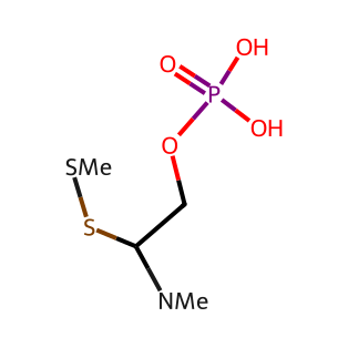 CNC(COP(=O)(O)O)SSC